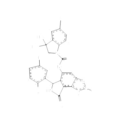 Cn1nc2cc(NC(=O)N3CC(O)(C(F)(F)F)c4cc(F)ccc43)c3c(c2n1)C(=O)NC3c1cc(F)ccc1Cl